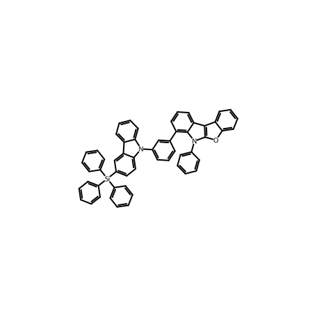 c1ccc(-n2c3oc4ccccc4c3c3cccc(-c4cccc(-n5c6ccccc6c6cc([Si](c7ccccc7)(c7ccccc7)c7ccccc7)ccc65)c4)c32)cc1